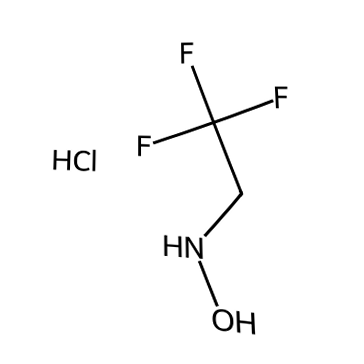 Cl.ONCC(F)(F)F